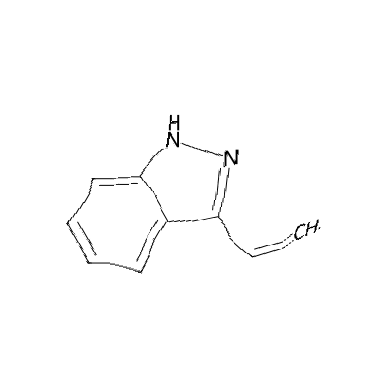 [CH]=Cc1n[nH]c2ccccc12